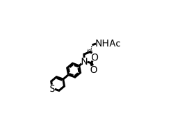 CC(=O)NC[C@H]1CN(c2ccc(C3=CCSCC3)cc2)C(=O)O1